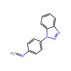 C=Nc1ccc(-n2nnc3ccccc32)cc1